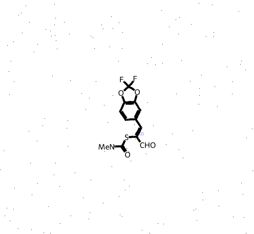 CNC(=O)S/C(C=O)=C\c1ccc2c(c1)OC(F)(F)O2